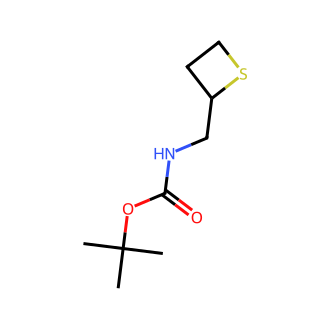 CC(C)(C)OC(=O)NCC1CCS1